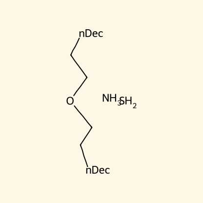 CCCCCCCCCCCCOCCCCCCCCCCCC.N.S